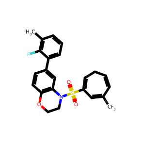 Cc1cccc(-c2ccc3c(c2)N(S(=O)(=O)C2=CCC=CC(C(F)(F)F)=C2)CCO3)c1F